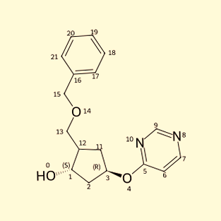 O[C@H]1C[C@H](Oc2ccncn2)CC1COCc1ccccc1